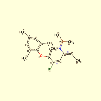 C=C(Oc1c(C)cc(C)cc1C)/C(Br)=C\C(=C/C)N=S(C)C